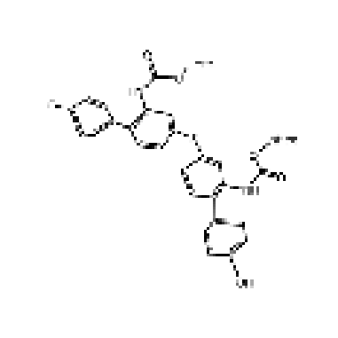 CCCCCCOC(=O)Nc1cc(Sc2ccc(-c3ccc(O)cc3)c(NC(=O)OCCCCCC)c2)ccc1-c1ccc(O)cc1